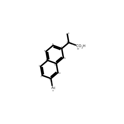 CC(=O)c1ccc2ccc(C(C)C(=O)O)cc2c1